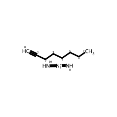 C#CCCCCCC.N=[N+]=N